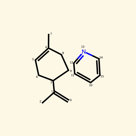 C=C(C)C1CC=C(C)CC1.c1ccncc1